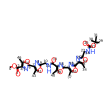 COC(=O)c1nc(-c2nc(CNC(=O)c3nc(-c4nc(-c5nc(CNC(=O)OC(C)(C)C)oc5C)oc4C)oc3C)oc2C)oc1C